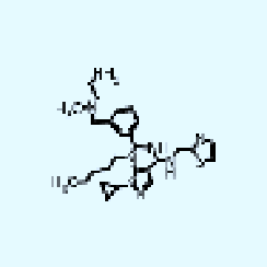 CCCCCN1c2c(cnn2C2CC2)C(NCc2nccs2)NC1c1cccc(CN(C)CCN)c1